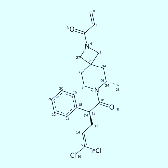 C=CC(=O)N1CC2(CCN(C(=O)[C@@H](CC=C(Cl)Cl)c3ccccc3)[C@@H](C)C2)C1